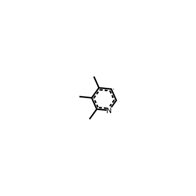 Cc1[c]cnc(C)c1C